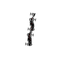 CNCCCCCCNC(=O)c1ccc(-c2nnc(-c3ccc(C(=O)NCCCCCCNC(=O)c4ccc(-c5nnc(-c6ccc(C(=O)NC)cn6)nn5)nc4)cn3)nn2)nc1